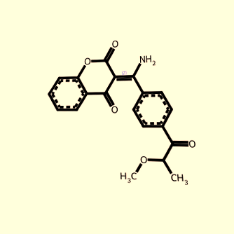 COC(C)C(=O)c1ccc(/C(N)=C2/C(=O)Oc3ccccc3C2=O)cc1